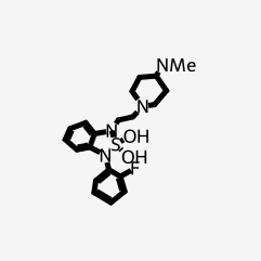 CNC1CCN(CCN2c3ccccc3N(c3ccccc3F)S2(O)O)CC1